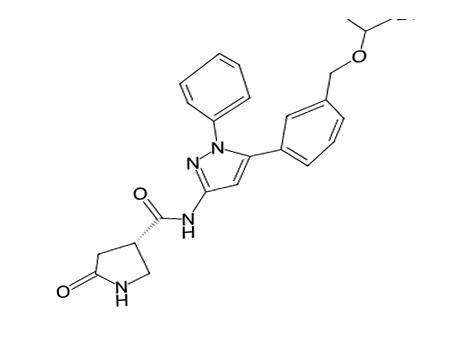 CCC(CC)OCc1cccc(-c2cc(NC(=O)[C@@H]3CNC(=O)C3)nn2-c2ccccc2)c1